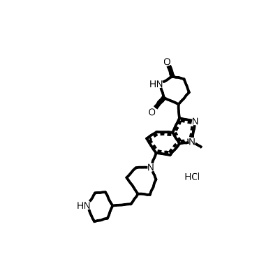 Cl.Cn1nc(C2CCC(=O)NC2=O)c2ccc(N3CCC(CC4CCNCC4)CC3)cc21